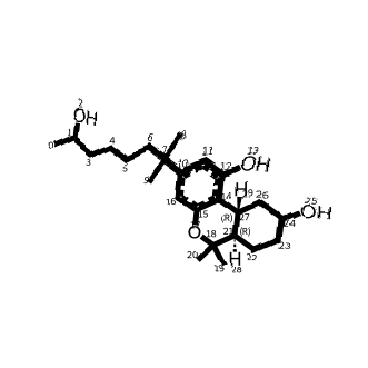 CC(O)CCCCC(C)(C)c1cc(O)c2c(c1)OC(C)(C)[C@@H]1CCC(O)C[C@@H]21